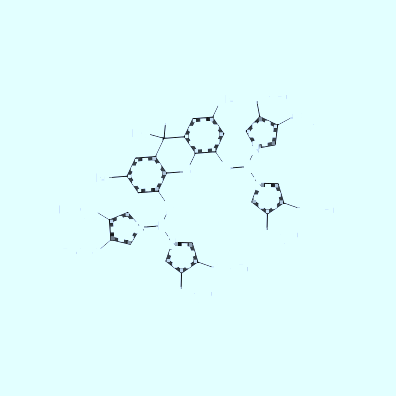 CCOC(=O)c1cn(P(Oc2cc(C(C)(C)C)cc3c2Oc2c(OP(n4cc(C(=O)OCC)c(C(=O)OCC)c4)n4cc(C(=O)OCC)c(C(=O)OCC)c4)cc(C(C)(C)C)cc2C3(C)C)n2cc(C(=O)OCC)c(C(=O)OCC)c2)cc1C(=O)OCC